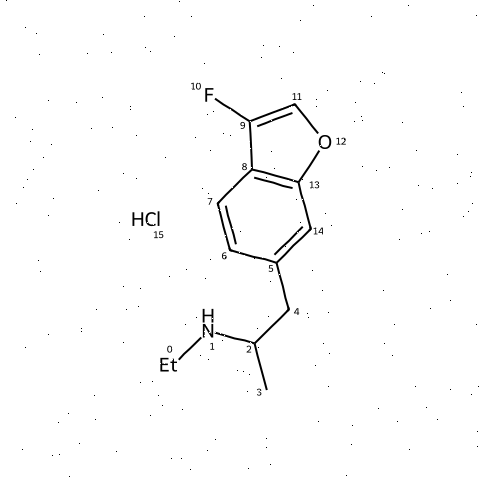 CCNC(C)Cc1ccc2c(F)coc2c1.Cl